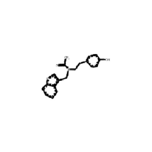 O=C(N(CCc1ccc(O)cc1)Cc1csc2ccccc12)C(F)(F)F